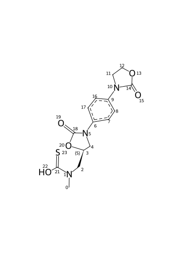 CN(C[C@@H]1CN(c2ccc(N3CCOC3=O)cc2)C(=O)O1)C(O)=S